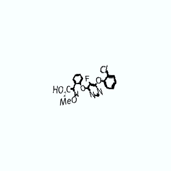 CON=C(C(=O)O)c1ccccc1Oc1ncnc(Oc2ccccc2Cl)c1F